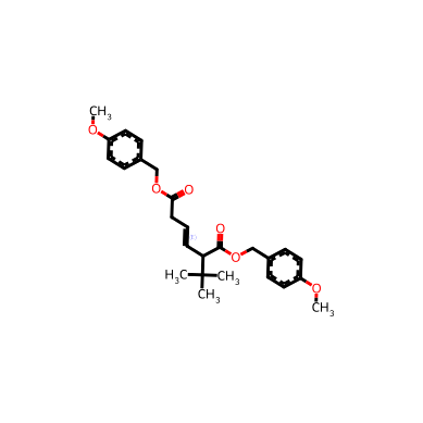 COc1ccc(COC(=O)C/C=C/C(C(=O)OCc2ccc(OC)cc2)C(C)(C)C)cc1